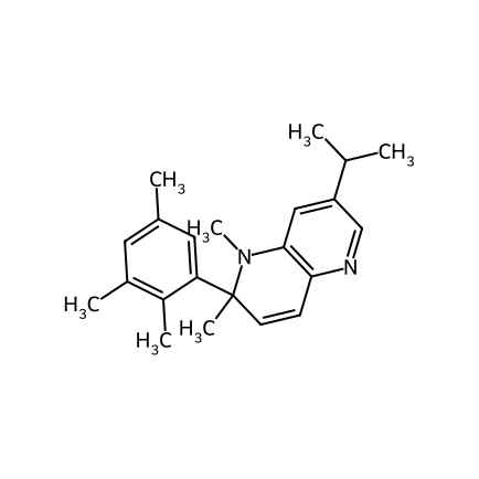 Cc1cc(C)c(C)c(C2(C)C=Cc3ncc(C(C)C)cc3N2C)c1